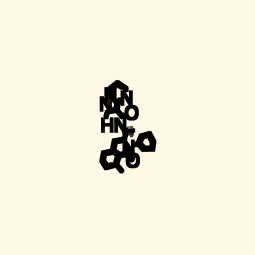 Cc1nn2cccnc2c1C(=O)N[C@@H](C)c1cc2cccc(C)c2c(=O)n1-c1ccccc1